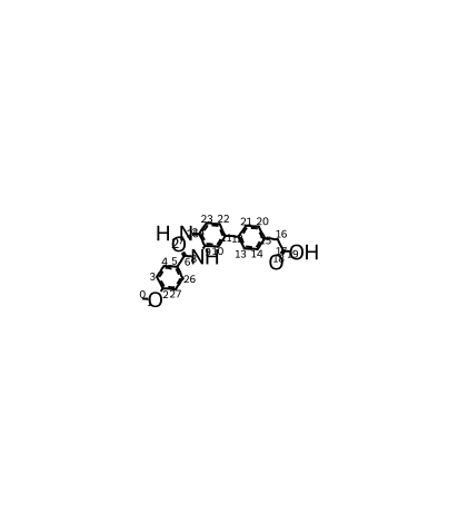 COc1ccc(C(=O)Nc2cc(-c3ccc(CC(=O)O)cc3)ccc2N)cc1